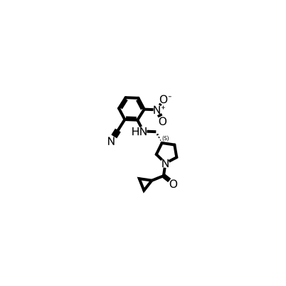 N#Cc1cccc([N+](=O)[O-])c1NC[C@@H]1CCN(C(=O)C2CC2)C1